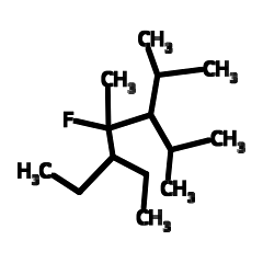 CCC(CC)C(C)(F)C(C(C)C)C(C)C